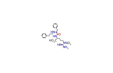 N=C(N)N(CCCC(NC(=O)[C@H](Cc1ccccc1)NCCCc1ccccc1)C(=O)O)[N+](=O)[O-]